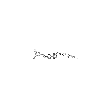 COC(=O)CC1CC(N2CCc3nc(-c4ccc(OCc5cc(Cl)cc(Cl)c5)cc4)ncc3C2)C1